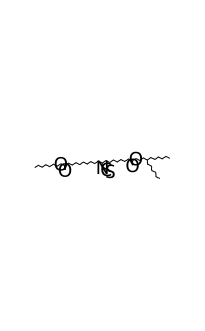 CCCCCCCOC(=O)CCCCCCCCCC(CCCCCCCC(=O)OCCC(CCCCCC)CCCCCC)N=C=S